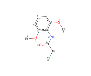 CCOc1cccc(OCC)c1NC(=O)CCl